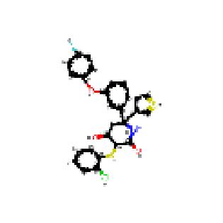 O=C1CC(c2ccsc2)(c2cccc(Oc3ccc(F)cc3)c2)NC(=O)C1Sc1ccccc1Cl